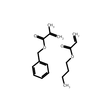 C=C(C)C(=O)OCc1ccccc1.C=CC(=O)OCCCC